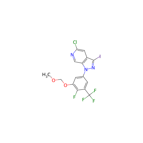 COCOc1cc(-n2nc(I)c3cc(Cl)ncc32)cc(C(F)(F)F)c1F